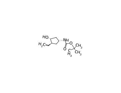 C=C[C@@H]1C[C@@H](NC(=O)OC(C)(C)C)C[C@H]1O